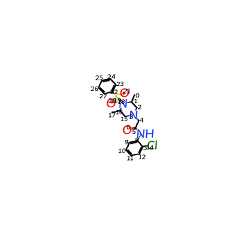 CC1CN(CC(=O)Nc2ccccc2Cl)CC(C)N1S(=O)(=O)c1ccccc1